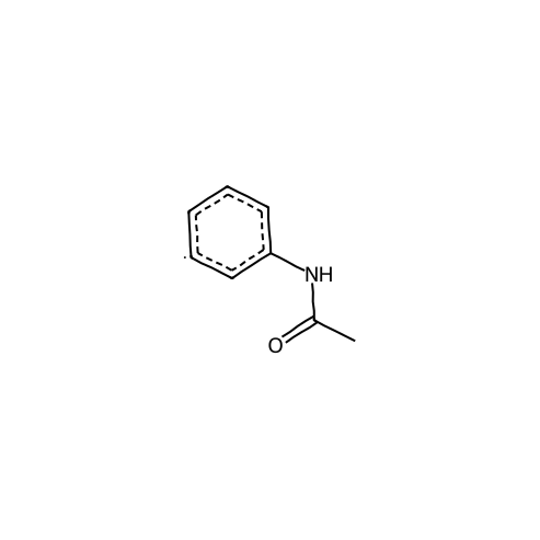 CC(=O)Nc1c[c]ccc1